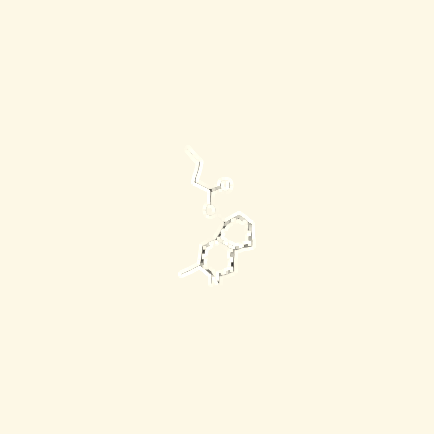 CCCC(=O)Oc1cccc2cnc(C)cc12